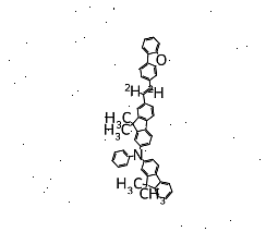 [2H]/C(=C(/[2H])c1ccc2c(c1)oc1ccccc12)c1ccc2c(c1)C(C)(C)c1cc(N(c3ccccc3)c3ccc4c(c3)C(C)(C)c3ccccc3-4)ccc1-2